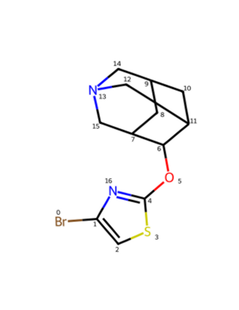 Brc1csc(OC2C3CC4CC2CN(C4)C3)n1